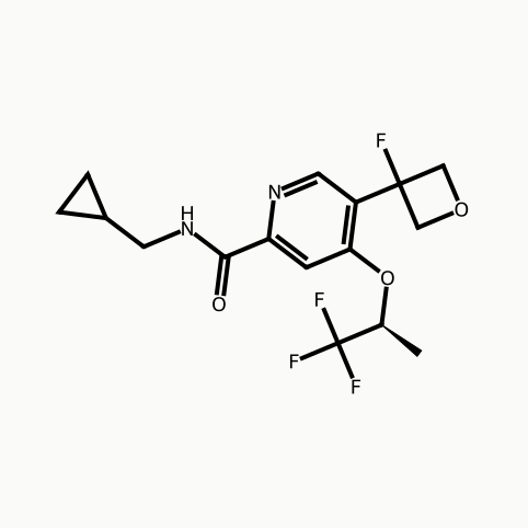 C[C@H](Oc1cc(C(=O)NCC2CC2)ncc1C1(F)COC1)C(F)(F)F